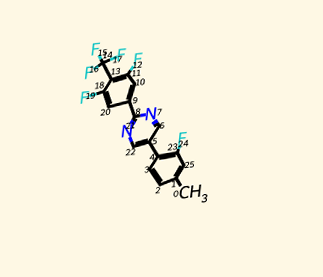 Cc1ccc(-c2cnc(-c3cc(F)c(C(F)(F)F)c(F)c3)nc2)c(F)c1